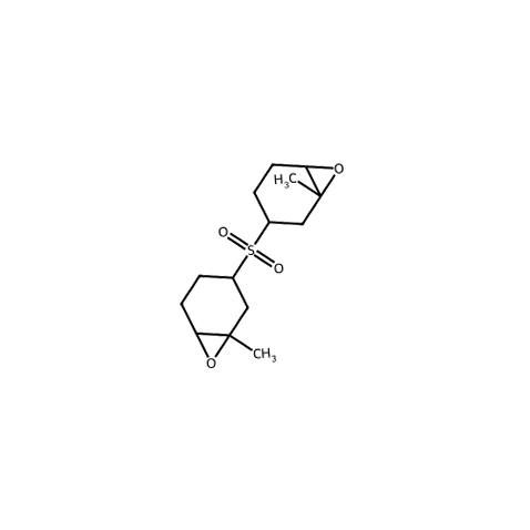 CC12CC(S(=O)(=O)C3CCC4OC4(C)C3)CCC1O2